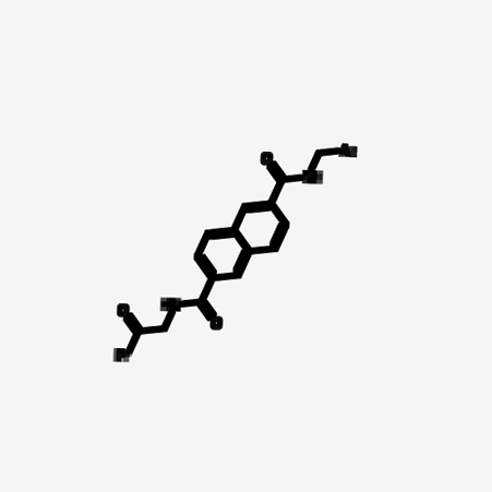 CC(=O)CNC(=O)c1ccc2cc(C(=O)NCC(=O)C(C)C)ccc2c1